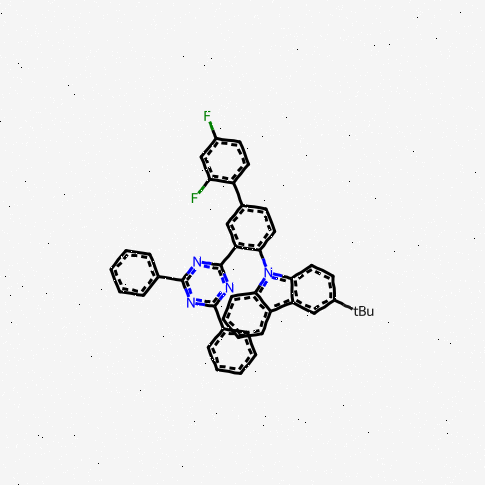 CC(C)(C)c1ccc2c(c1)c1ccccc1n2-c1ccc(-c2ccc(F)cc2F)cc1-c1nc(-c2ccccc2)nc(-c2ccccc2)n1